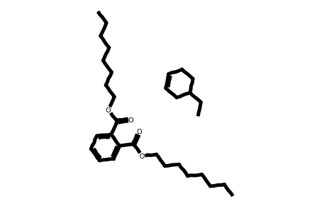 CCC1CC=CCC1.CCCCCCCCOC(=O)c1ccccc1C(=O)OCCCCCCCC